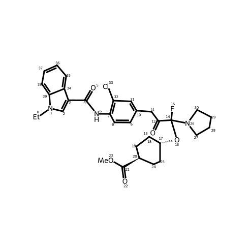 CCn1cc(C(=O)Nc2ccc(CC(=O)C(F)(O[C@H]3CC[C@H](C(=O)OC)CC3)N3CCCC3)cc2Cl)c2ccccc21